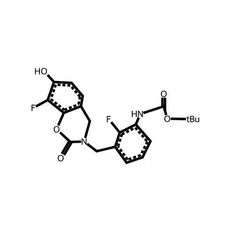 CC(C)(C)OC(=O)Nc1cccc(CN2Cc3ccc(O)c(F)c3OC2=O)c1F